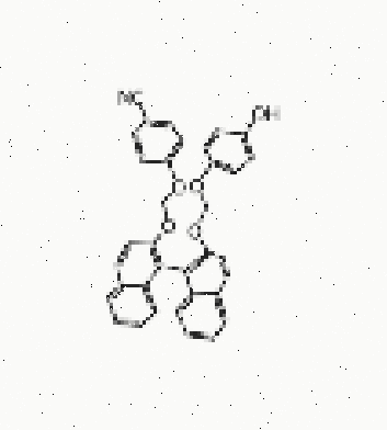 N#Cc1ccc(OCOc2ccc3ccccc3c2-c2c(OCOc3ccc(O)cc3)ccc3ccccc23)cc1